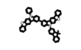 CC1(C)c2ccccc2-c2ccc(-n3c4ccc(-c5ccc6c(c5)c5cc7c(cc5n6-c5ccccc5)oc5ccccc57)cc4c4cc5c(cc43)oc3ccccc35)cc21